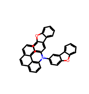 c1ccc2c(c1)ccc1cccc(N(c3ccc4oc5ccccc5c4c3)c3ccc4oc5ccccc5c4c3)c12